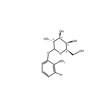 [2H]c1cccc(OC2O[C@H](CO)[C@H](O)[C@H](O)[C@H]2O)c1[N+](=O)[O-]